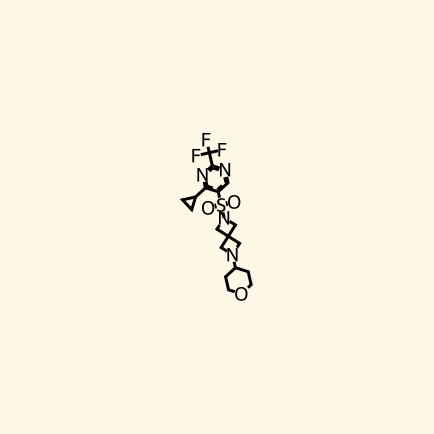 O=S(=O)(c1cnc(C(F)(F)F)nc1C1CC1)N1CC2(CN(C3CCOCC3)C2)C1